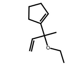 C=CC(C)(OCC)C1=CCCC1